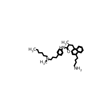 CCCCCCN(C)CCCc1ccc(NC(=O)[C@@H](C)Cc2ccc(CCCCN)c3ccccc23)cc1